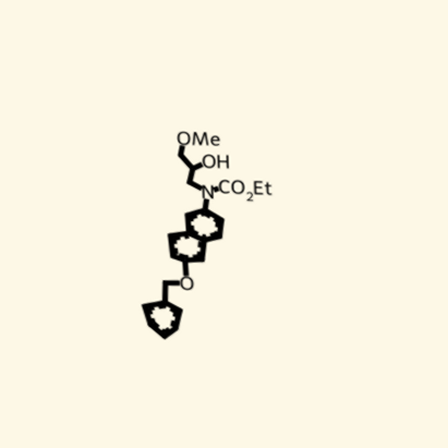 CCOC(=O)N(CC(O)COC)c1ccc2cc(OCc3ccccc3)ccc2c1